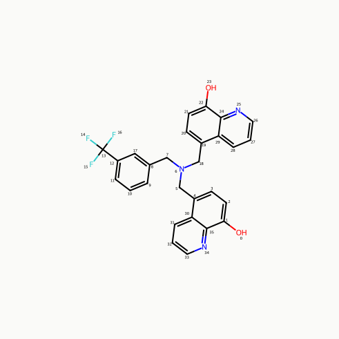 Oc1ccc(CN(Cc2cccc(C(F)(F)F)c2)Cc2ccc(O)c3ncccc23)c2cccnc12